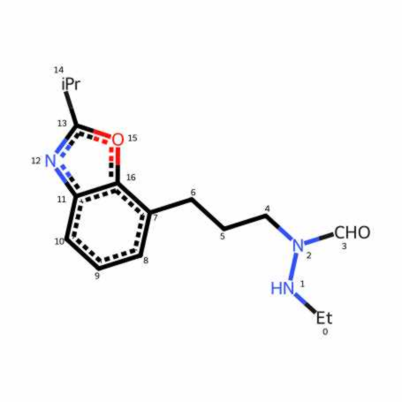 CCNN(C=O)CCCc1cccc2nc(C(C)C)oc12